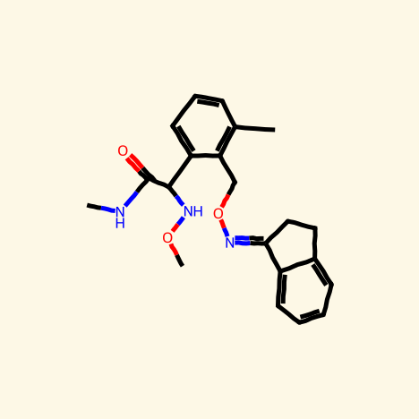 CNC(=O)C(NOC)c1cccc(C)c1CO/N=C1\CCc2ccccc21